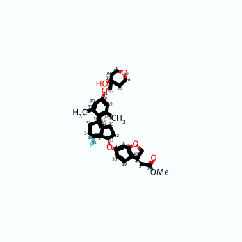 COC(=O)C[C@@H]1COc2cc(O[C@@H]3CCc4c(-c5c(C)cc(OCC6(O)CCOCC6)cc5C)ccc(F)c43)ccc21